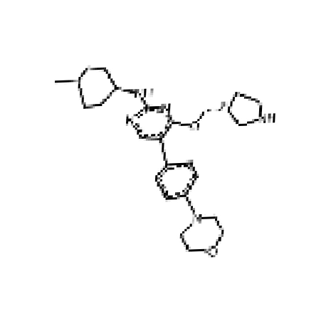 C[C@H]1CC[C@@H](Nc2ncc(-c3ccc(N4CCOCC4)cc3)c(OC[C@@H]3CCNC3)n2)CC1